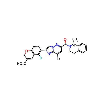 CCc1cc(C(=O)N2CCc3ccccc3[C@H]2C)nn2cc(-c3ccc4c(c3F)C=C(C(=O)O)CO4)nc12